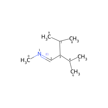 C/N=C/C(C(C)C)C(C)C